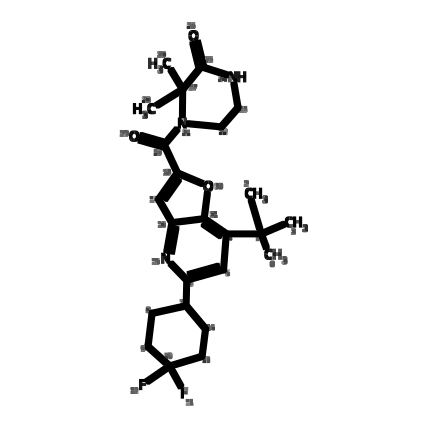 CC(C)(C)c1cc(C2CCC(F)(F)CC2)nc2cc(C(=O)N3CCNC(=O)C3(C)C)oc12